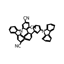 N#Cc1cc(C#N)c(-c2ccccc2-c2cccc(-n3c4ccccc4c4ccccc43)c2)c(-n2c3ccccc3c3cc(C#N)ccc32)c1